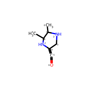 CC1NCC(=C=O)NC1C